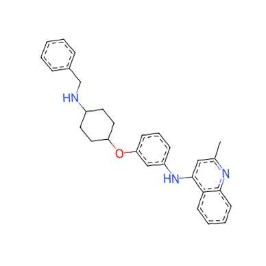 Cc1cc(Nc2cccc(OC3CCC(NCc4ccccc4)CC3)c2)c2ccccc2n1